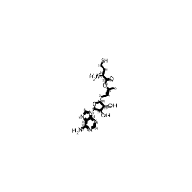 CC(=CC[C@H]1O[C@@H](n2cnc3c(N)ncnc32)[C@H](O)[C@@H]1O)OC(=O)[C@@H](N)CCS